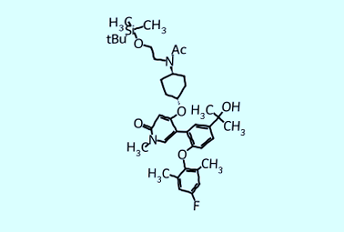 CC(=O)N(CCO[Si](C)(C)C(C)(C)C)[C@H]1CC[C@H](Oc2cc(=O)n(C)cc2-c2cc(C(C)(C)O)ccc2Oc2c(C)cc(F)cc2C)CC1